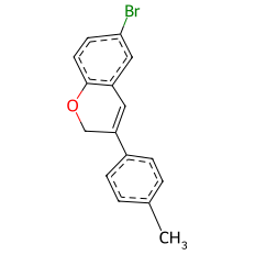 Cc1ccc(C2=Cc3cc(Br)ccc3OC2)cc1